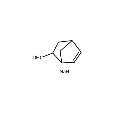 O=CC1CC2C=CC1C2.[NaH]